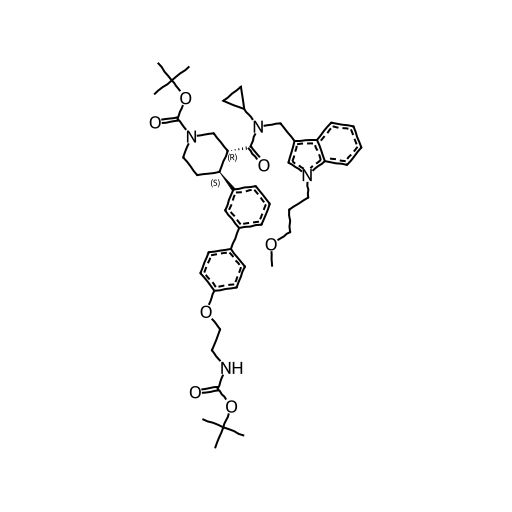 COCCCn1cc(CN(C(=O)[C@H]2CN(C(=O)OC(C)(C)C)CC[C@@H]2c2cccc(-c3ccc(OCCNC(=O)OC(C)(C)C)cc3)c2)C2CC2)c2ccccc21